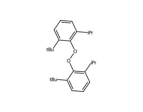 CC(C)c1cccc(C(C)(C)C)c1OOc1c(C(C)C)cccc1C(C)(C)C